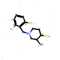 CC(C)C1CN(Cc2c(F)cccc2F)CCC1F